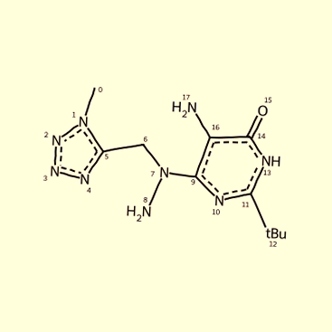 Cn1nnnc1CN(N)c1nc(C(C)(C)C)[nH]c(=O)c1N